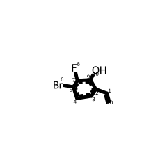 C=Cc1ccc(Br)c(F)c1O